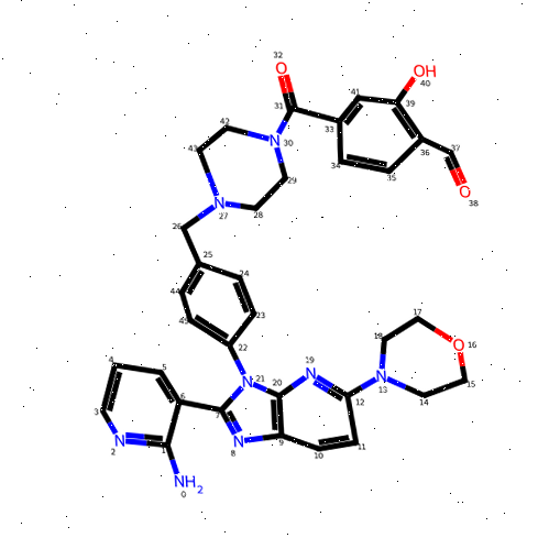 Nc1ncccc1-c1nc2ccc(N3CCOCC3)nc2n1-c1ccc(CN2CCN(C(=O)c3ccc(C=O)c(O)c3)CC2)cc1